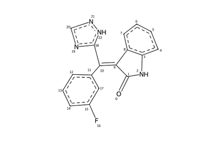 O=C1Nc2ccccc2C1=C(c1cccc(F)c1)c1ncn[nH]1